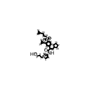 O=C(Nc1ccn(CCCO)n1)/C(=C/C1CCCC1)c1ccc(S(=O)(=O)CC=CC2CC2)c(C2CC2)c1